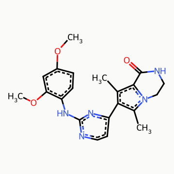 COc1ccc(Nc2nccc(-c3c(C)c4n(c3C)CCNC4=O)n2)c(OC)c1